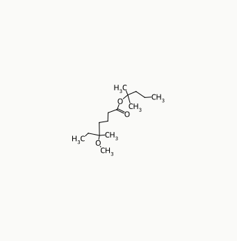 CCCC(C)(C)OC(=O)CCCC(C)(CC)OC